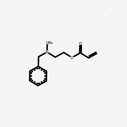 C=CC(=O)OCCN(CCCC)Cc1ccccc1